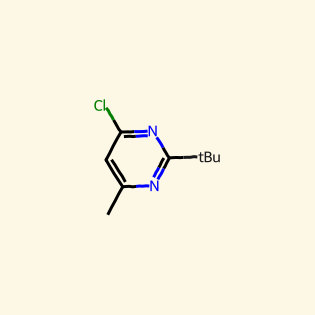 Cc1cc(Cl)nc(C(C)(C)C)n1